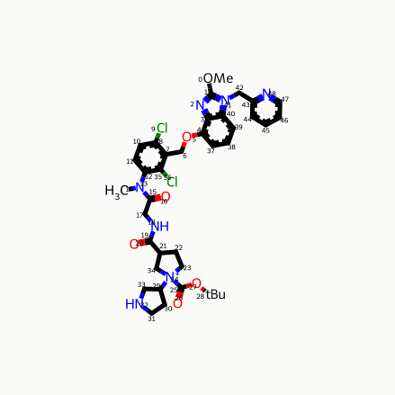 COc1nc2c(OCc3c(Cl)ccc(N(C)C(=O)CNC(=O)C4CC[N+](C(=O)OC(C)(C)C)(C5CCNC5)C4)c3Cl)cccc2n1Cc1ccccn1